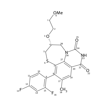 COCCO[C@H]1CSc2c(-c3ccc(F)cc3F)c(C)cc3c(=O)[nH]c(=O)n(c23)C1